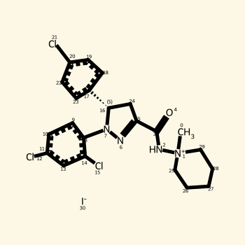 C[N+]1(NC(=O)C2=NN(c3ccc(Cl)cc3Cl)[C@H](c3ccc(Cl)cc3)C2)CCCCC1.[I-]